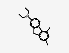 CCN(CC)c1ccc2c(c1)Cc1cc(C)cc(C)c1-2